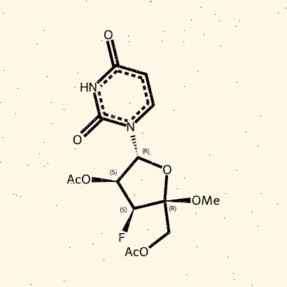 CO[C@]1(COC(C)=O)O[C@@H](n2ccc(=O)[nH]c2=O)[C@H](OC(C)=O)[C@@H]1F